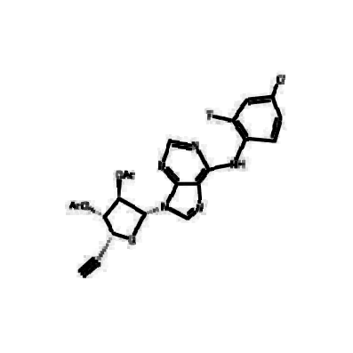 C#C[C@H]1O[C@@H](n2cnc3c(Nc4ccc(Cl)cc4F)ncnc32)[C@H](OC(C)=O)[C@H]1OC(C)=O